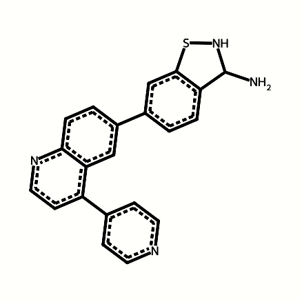 NC1NSc2cc(-c3ccc4nccc(-c5ccncc5)c4c3)ccc21